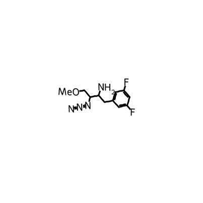 COCC(N=[N+]=[N-])C(N)Cc1cc(F)cc(F)c1